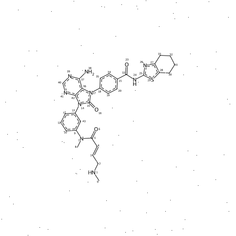 CNC/C=C/C(=O)N(C)c1cccc(-n2c(=O)n(-c3ccc(C(=O)Nc4nc5c(s4)CCCC5)cc3)c3c(N)ncnc32)c1